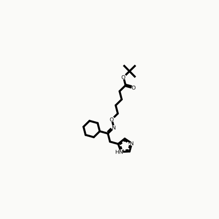 CC(C)(C)OC(=O)CCCCO/N=C(/Cc1cnc[nH]1)C1CCCCC1